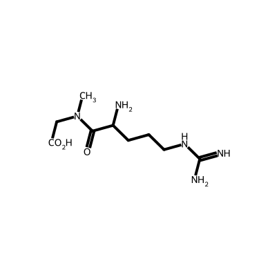 CN(CC(=O)O)C(=O)C(N)CCCNC(=N)N